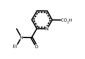 CCN(C)C(=O)c1cccc(C(=O)O)n1